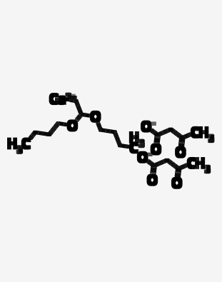 CC(=O)CC(=O)[O-].CC(=O)CC(=O)[O-].CCCCOC([CH2][Ga+2])OCCCC